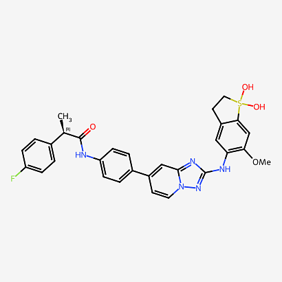 COc1cc2c(cc1Nc1nc3cc(-c4ccc(NC(=O)[C@H](C)c5ccc(F)cc5)cc4)ccn3n1)CCS2(O)O